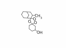 CC1CC2CCCC(C2)C12OOC1(CCCC(O)C1)O2